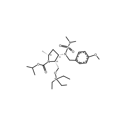 CC[Si](CC)(CC)OC[C@H]1[C@@H](N(Cc2ccc(OC)cc2)S(=O)(=O)N(C)C)C[C@@H](C)N1C(=O)OC(C)C